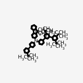 CC(C)(C)c1cccc(-c2ccc(N(c3cccc(-c4cc(-c5cc(C(C)(C)C)cc(C(C)(C)C)c5)cc(C(C)(C)C)c4)c3)c3ccc4c(c3)C(C)(C)c3ccccc3-4)cc2)c1